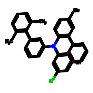 Cc1cccc(C)c1-c1cccc(N(c2cc(Cl)cc(C(C)C)c2)c2ccc(C(C)(C)C)cc2-c2ccccc2)c1